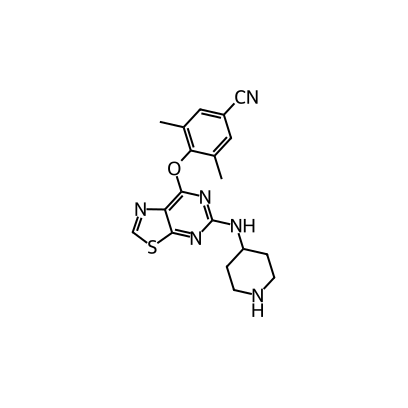 Cc1cc(C#N)cc(C)c1Oc1nc(NC2CCNCC2)nc2scnc12